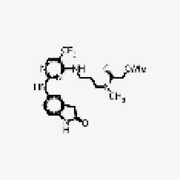 COCC(=O)N(C)CCCNc1nc(Nc2ccc3c(c2)CC(=O)N3)ncc1C(F)(F)F